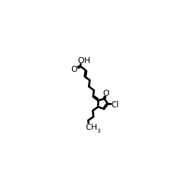 CCCCC1C=C(Cl)C(=O)/C1=C\CCC/C=C/C(=O)O